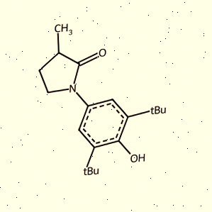 CC1CCN(c2cc(C(C)(C)C)c(O)c(C(C)(C)C)c2)C1=O